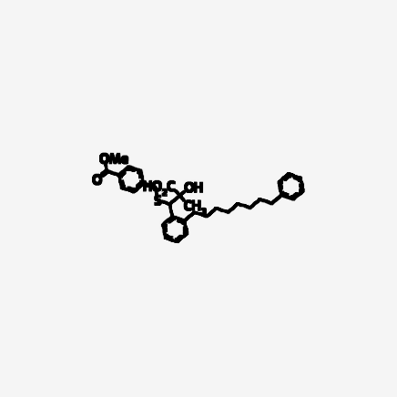 COC(=O)c1ccc(CSC(c2ccccc2CCCCCCCCc2ccccc2)C(C)(O)C(=O)O)cc1